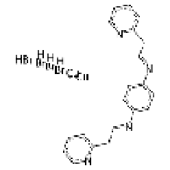 Br.Br.Br.Br.C(Cc1ccccn1)=Nc1ccc(N=CCc2ccccn2)cc1.[Cu].[Cu]